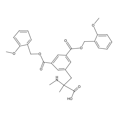 CNC(C)(Cc1cc(C(=O)OCc2ccccc2OC)cc(C(=O)OCc2ccccc2OC)c1)C(=O)O